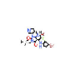 CCn1c(=O)c2c(Nc3ccc(Br)cc3F)cc(=O)n(C)c2n(-c2cccnc2)c1=O